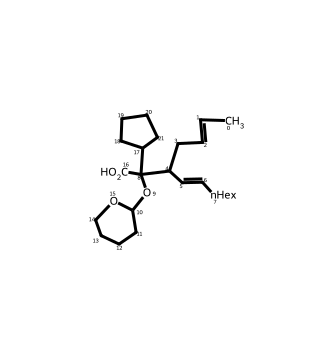 CC=CCC(C=CCCCCCC)C(OC1CCCCO1)(C(=O)O)C1CCCC1